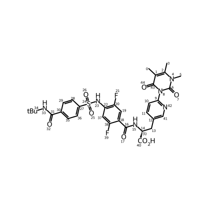 Cc1c(C)n(C)c(=O)n(-c2ccc(C[C@H](NC(=O)c3cc(F)c(NS(=O)(=O)c4ccc(C(=O)NC(C)(C)C)cc4)cc3F)C(=O)O)cn2)c1=O